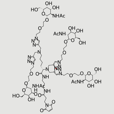 CC(=O)N[C@H]1[C@H](OCCOCCn2cc(CN(CCCC[C@@H](C(=O)NCCCNC(=O)CCN3C(=O)C=CC3=O)N(Cc3cn(CCOCCO[C@@H]4O[C@H](CO)[C@H](O)[C@H](O)[C@H]4NC(C)=O)nn3)Cc3cn(CCOCCO[C@@H]4O[C@H](CO)[C@H](O)[C@H](O)[C@H]4NC(C)=O)nn3)Cc3cn(CCOCCO[C@@H]4O[C@H](CO)[C@H](O)[C@H](O)[C@H]4NC(C)=O)nn3)nn2)O[C@H](CO)[C@H](O)[C@@H]1O